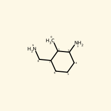 CC1C(N)CCCC1CN